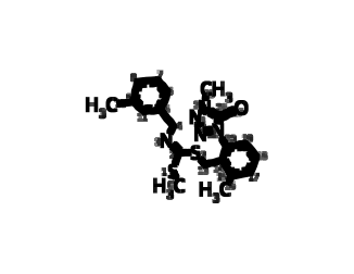 CSC(=NCc1cccc(C)c1)SCc1c(C)cccc1-n1nnn(C)c1=O